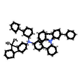 CC1(C)c2ccccc2-c2ccc(N(c3ccc(-c4ccccc4-n4c5ccccc5c5ccc(-c6ccccc6)cc54)cc3)c3cccc(-c4ccccc4)c3)cc21